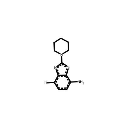 Nc1ccc(Cl)c2nc(N3CCCCC3)sc12